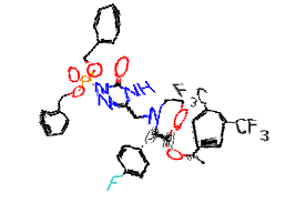 C[C@@H](O[C@H]1OCCN(Cc2nn(P(=O)(OCc3ccccc3)OCc3ccccc3)c(=O)[nH]2)[C@H]1c1ccc(F)cc1)c1cc(C(F)(F)F)cc(C(F)(F)F)c1